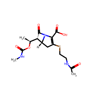 CNC(=O)O[C@@H](C)[C@@H]1C(=O)N2C(C(=O)O)=C(SCCNC(C)=O)C[C@H]12